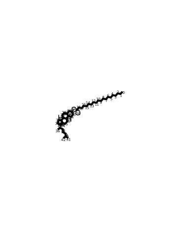 CCCCCCCCCCCCCCCCCCCC(=O)O[C@H]1CC[C@@]2(C)C(=CC[C@H]3[C@@H]4CC[C@H](C(C)CCCC(C)C)[C@@]4(C)CC[C@@H]32)C1